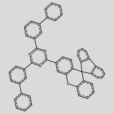 c1ccc(-c2cccc(-c3nc(-c4cccc(-c5ccccc5)c4)nc(-c4ccc5c(c4)Oc4ccccc4C54c5ccccc5-c5ccccc54)n3)c2)cc1